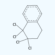 ClC1(Cl)CCc2ccccc2C1(Cl)Cl